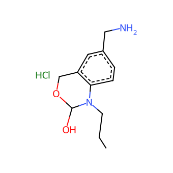 CCCN1c2ccc(CN)cc2COC1O.Cl